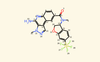 CN(C(=O)c1ccc2nc(N)c3c(cnn3C)c2c1)[C@@H]1COc2cc(S(F)(F)(F)(F)F)ccc21